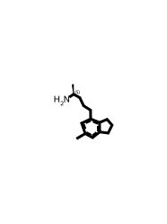 Cc1cc2c(c(CCC[C@H](C)N)c1)CCC2